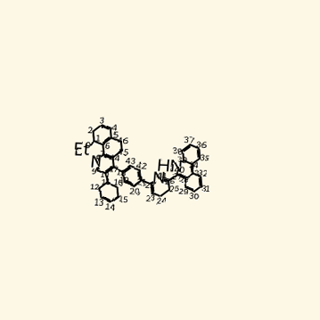 CCC1CC=CC2=C1c1ncc(C3CC=CCC3)c(-c3ccc(C4=CCCC(C5=c6ccccc6=C6C=CC=CC6N5)=N4)cc3)c1CC2